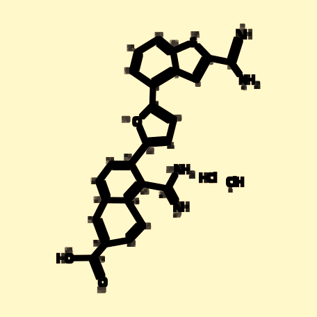 Cl.Cl.N=C(N)c1cc2c(-c3ccc(-c4ccc5cc(C(=O)O)ccc5c4C(=N)N)o3)cccc2s1